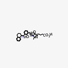 CC1=NN(CCCC(=O)O)C(=O)/C1=N\Nc1cccc(/C=C2\CCCc3ccccc32)c1O